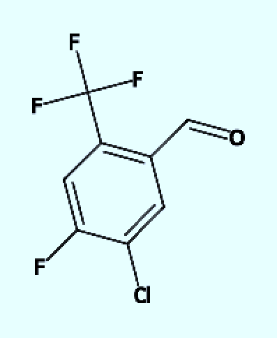 O=Cc1cc(Cl)c(F)cc1C(F)(F)F